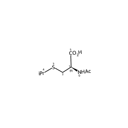 CC(=O)N[C@@H](CSC(C)C)C(=O)O